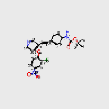 CC(C)(C)OC(=O)NC1CC=C(C#Cc2cnccc2Oc2ccc([N+](=O)[O-])cc2F)CC1